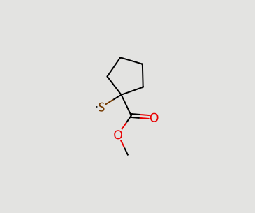 COC(=O)C1([S])CCCC1